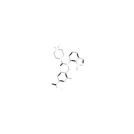 COC(=O)c1ccc(CN(C(=O)N2CCS(O)(O)CC2)c2cccc3cnn(C)c23)c(F)c1